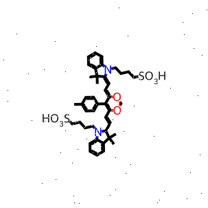 Cc1ccc(C2=C(/C=C/C3N(CCCCS(=O)(=O)O)c4ccccc4C3(C)C)OCO/C2=C\C=C2\N(CCCCS(=O)(=O)O)c3ccccc3C2(C)C)cc1